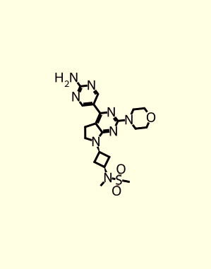 CN([C@H]1C[C@@H](N2CCc3c(-c4cnc(N)nc4)nc(N4CCOCC4)nc32)C1)S(C)(=O)=O